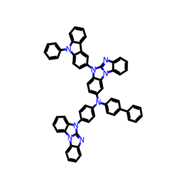 c1ccc(-c2ccc(N(c3ccc(-n4c5ccccc5n5c6ccccc6nc45)cc3)c3ccc4c(c3)n3c5ccccc5nc3n4-c3ccc4c(c3)c3ccccc3n4-c3ccccc3)cc2)cc1